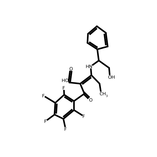 CCC(NC(CO)c1ccccc1)=C(C(=O)O)C(=O)c1c(F)c(F)c(F)c(F)c1F